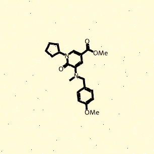 COC(=O)c1cc(N(C)Cc2ccc(OC)cc2)c(=O)n(C2CCCC2)c1